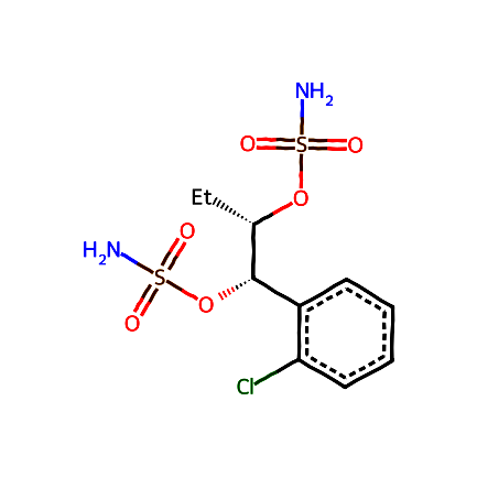 CC[C@H](OS(N)(=O)=O)[C@@H](OS(N)(=O)=O)c1ccccc1Cl